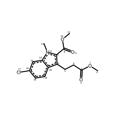 COC(=O)CCc1c(C(=O)OC)n(C)c2cc(Cl)ccc12